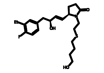 CCc1cc(C[C@H](O)/C=C/[C@H]2CCC(=O)N2CCSCCCCO)ccc1F